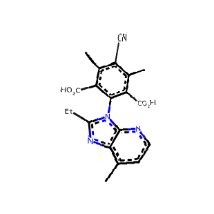 CCc1nc2c(C)ccnc2n1-c1c(C(=O)O)c(C)c(C#N)c(C)c1C(=O)O